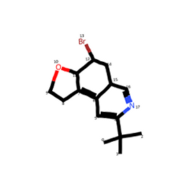 CC(C)(C)C1=CC2=C3CCOC3C(Br)CC2C=N1